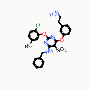 N#Cc1ccc(Cl)c(Oc2nc(NCc3ccccc3)c([N+](=O)[O-])c(Oc3cccc(CCN)c3)n2)c1